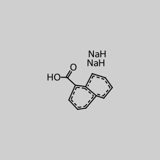 O=C(O)c1cccc2ccccc12.[NaH].[NaH]